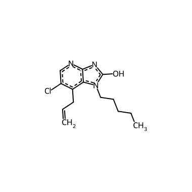 C=CCc1c(Cl)cnc2nc(O)n(CCCCC)c12